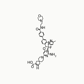 Cc1ccn(-c2cc(-c3ccc(C(=O)NCCN4CCOCC4)cc3)ccc2C(Oc2cc(N3CCC4(CC3)CN[C@H](C(=O)O)C4)nc(N)n2)C(F)(F)F)n1